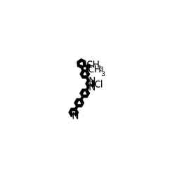 CC1(C)c2ccccc2-c2ccc(-c3cc(-c4ccc(-c5ccc(-c6cccnc6)cc5)cc4)nc(Cl)n3)cc21